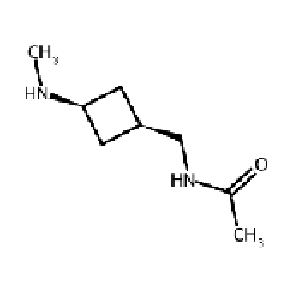 CN[C@H]1C[C@@H](CNC(C)=O)C1